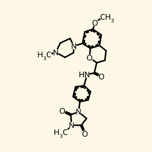 COc1cc2c(c(N3CCN(C)CC3)c1)OC(C(=O)Nc1ccc(N3CC(=O)N(C)C3=O)cc1)CC2